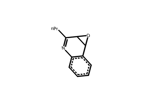 CCCC1=Nc2ccccc2C2OC12